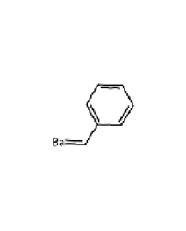 [Ba]=[CH]c1ccccc1